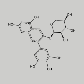 Oc1cc(O)c2cc(O[C@H]3OC[C@@H](O)[C@H](O)[C@H]3O)c(-c3cc(O)c(O)c(O)c3)[o+]c2c1